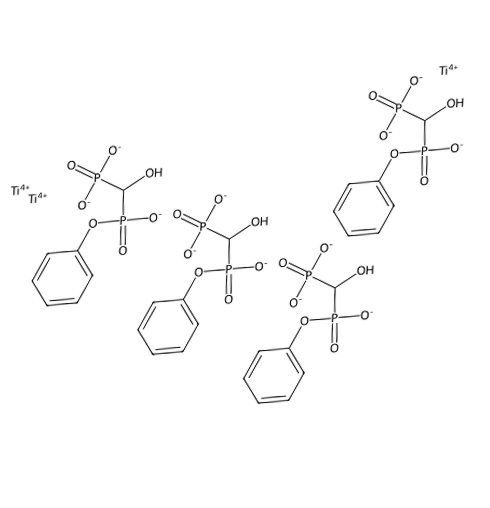 O=P([O-])([O-])C(O)P(=O)([O-])Oc1ccccc1.O=P([O-])([O-])C(O)P(=O)([O-])Oc1ccccc1.O=P([O-])([O-])C(O)P(=O)([O-])Oc1ccccc1.O=P([O-])([O-])C(O)P(=O)([O-])Oc1ccccc1.[Ti+4].[Ti+4].[Ti+4]